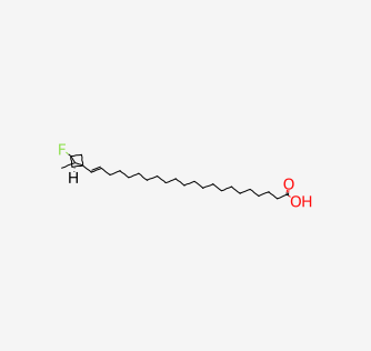 C[C@H]1C2(F)CC1(/C=C/CCCCCCCCCCCCCCCCCCCC(=O)O)C2